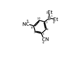 CCB(CC)c1cc(C#N)cc(C#N)c1